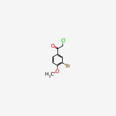 COc1ccc(C(=O)CCl)cc1Br